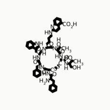 CC(O)C(CO)NC(=O)[C@@H]1CSSC[C@H](NC(=O)[C@H](N)Cc2ccccc2)C(=O)N[C@@H](Cc2ccccc2)C(=O)N[C@H](Cc2c[nH]c3ccccc23)C(=O)N[C@@H](CCCCNc2ccc3c(C(=O)O)cccc3n2)C(=O)N[C@@H]([C@@H](C)O)C(=O)N1